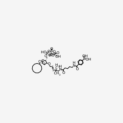 CC(C)(CNC(=O)CCCCNC(=O)c1ccc(B(O)O)cc1)SSCOC1C[C@H](C2(C)CCCCCCCCCC2)O[C@@H]1COP(=O)(O)OP(=O)(O)OP(=O)(O)O